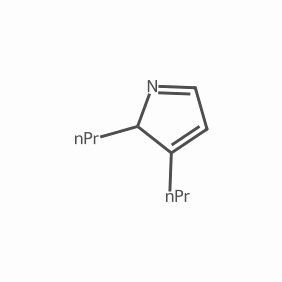 CCCC1=CC=NC1CCC